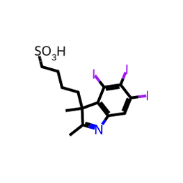 CC1=Nc2cc(I)c(I)c(I)c2C1(C)CCCCS(=O)(=O)O